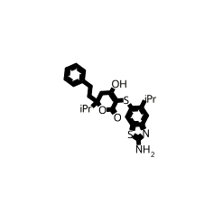 CC(C)c1cc2nc(N)sc2cc1SC1=C(O)CC(CCc2ccccc2)(C(C)C)OC1=O